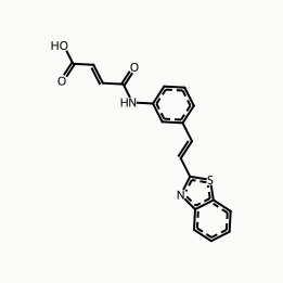 O=C(O)C=CC(=O)Nc1cccc(C=Cc2nc3ccccc3s2)c1